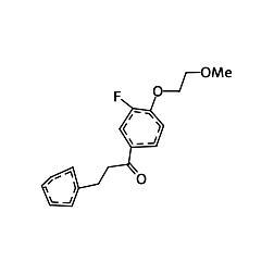 COCCOc1ccc(C(=O)CCc2ccccc2)cc1F